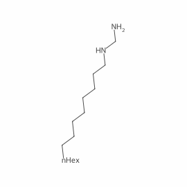 CCCCCCCCCCCCCCNCN